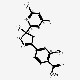 COC(=O)c1ccc(C2=NOC(c3cc(Cl)cc(C(F)(F)F)n3)(C(F)(F)F)C2)cc1C